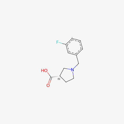 O=C(O)[C@H]1CCN(Cc2cc[c]c(F)c2)C1